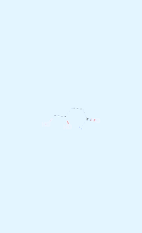 C[C@@H](C[C@@H](O)CO)C(N)=O